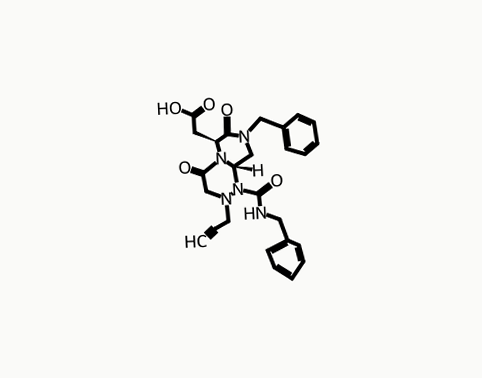 C#CCN1CC(=O)N2[C@@H](CC(=O)O)C(=O)N(Cc3ccccc3)C[C@@H]2N1C(=O)NCc1ccccc1